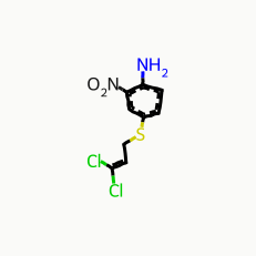 Nc1ccc(SCC=C(Cl)Cl)cc1[N+](=O)[O-]